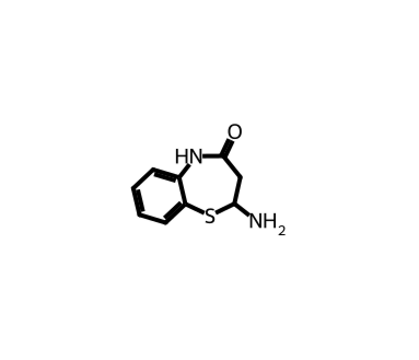 NC1CC(=O)Nc2ccccc2S1